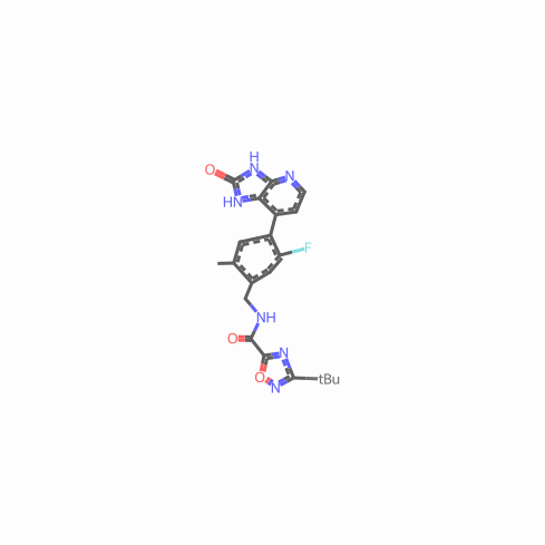 Cc1cc(-c2ccnc3[nH]c(=O)[nH]c23)c(F)cc1CNC(=O)c1nc(C(C)(C)C)no1